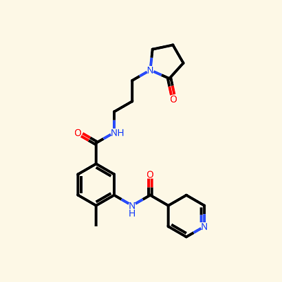 Cc1ccc(C(=O)NCCCN2CCCC2=O)cc1NC(=O)C1C=CN=CC1